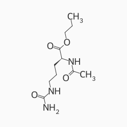 CCCOC(=O)[C@H](CCCNC(N)=O)NC(C)=O